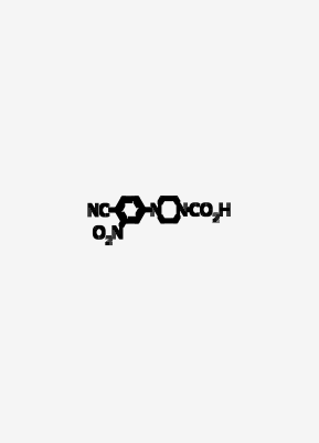 N#Cc1ccc(N2CCN(C(=O)O)CC2)cc1[N+](=O)[O-]